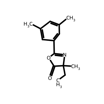 CCC1(C)N=C(c2cc(C)cc(C)c2)OC1=O